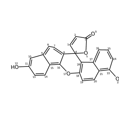 O=C1C=CC2(O1)c1ccc3cc(O)ccc3c1Oc1ccc3c(O)cccc3c12